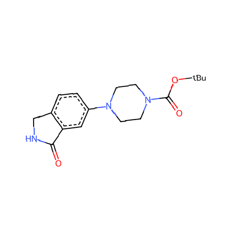 CC(C)(C)OC(=O)N1CCN(c2ccc3c(c2)C(=O)NC3)CC1